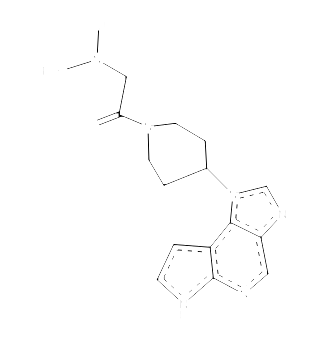 CN(C)CC(=O)N1CCC(n2cnc3cnc4[nH]ccc4c32)CC1